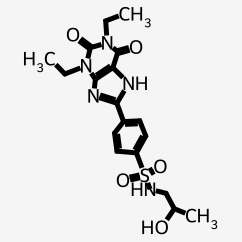 CCn1c(=O)c2[nH]c(-c3ccc(S(=O)(=O)NCC(C)O)cc3)nc2n(CC)c1=O